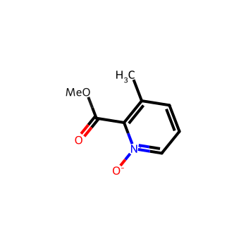 COC(=O)c1c(C)ccc[n+]1[O-]